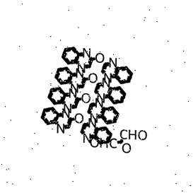 O=CC(=O)C=O.c1ccc2nc(Oc3cnc4ccccc4n3)cnc2c1.c1ccc2nc(Oc3cnc4ccccc4n3)cnc2c1.c1ccc2nc(Oc3cnc4ccccc4n3)cnc2c1.c1ccc2nc(Oc3cnc4ccccc4n3)cnc2c1